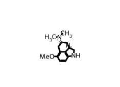 COc1ccc2c3c1C[C@H](N(C)C)C[C@H]3CN2